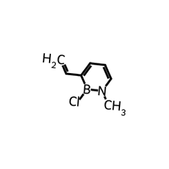 C=CC1=CC=CN(C)B1Cl